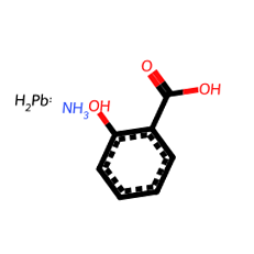 N.O=C(O)c1ccccc1O.[PbH2]